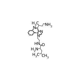 CC(C)CC(N)C(=O)NCCn1cnc2c(C(C)CCN)nc3ccccc3c21